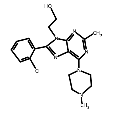 Cc1nc(N2CCN(C)CC2)c2nc(-c3ccccc3Cl)n(CCO)c2n1